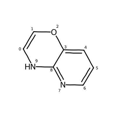 C1=COc2cccnc2N1